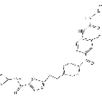 O=C(Nc1ccc(C(=O)N2CCN(CCc3ccc(C(=O)NC4CCC4)o3)CC2)cc1F)NC1CCC1